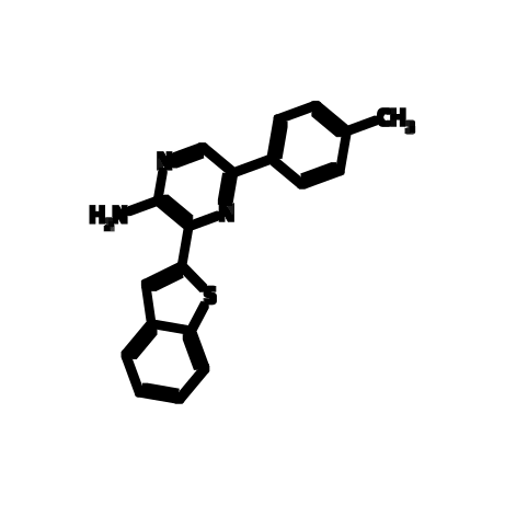 Cc1ccc(-c2cnc(N)c(-c3cc4ccccc4s3)n2)cc1